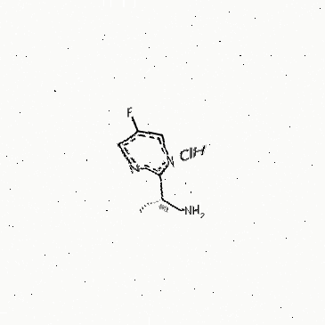 C[C@@H](N)c1ncc(F)cn1.Cl